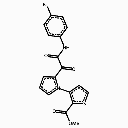 COC(=O)c1sccc1-n1cccc1C(=O)C(=O)Nc1ccc(Br)cc1